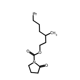 CC(C)CCCC(C)CCOC(=O)N1CCCC1=O